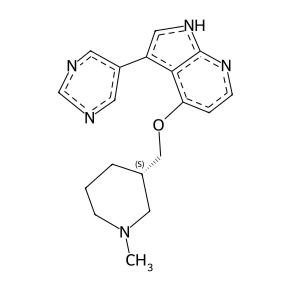 CN1CCC[C@H](COc2ccnc3[nH]cc(-c4cncnc4)c23)C1